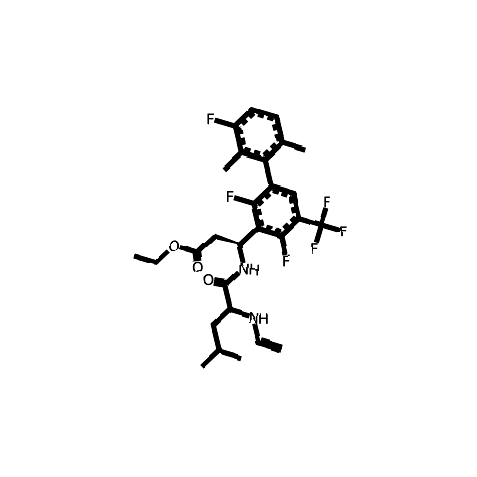 C=CNC(CC(C)C)C(=O)N[C@@H](CC(=O)OCC)c1c(F)c(-c2c(C)ccc(F)c2C)cc(C(F)(F)F)c1F